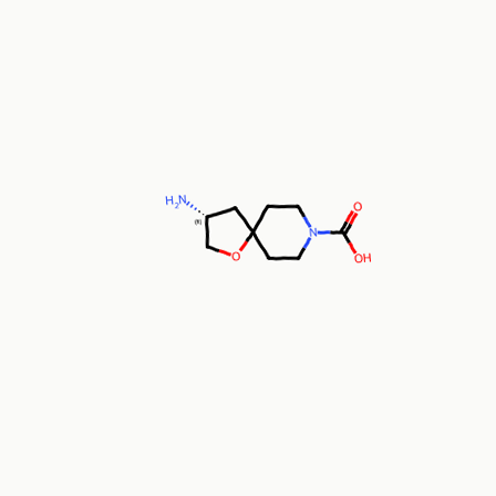 N[C@H]1COC2(CCN(C(=O)O)CC2)C1